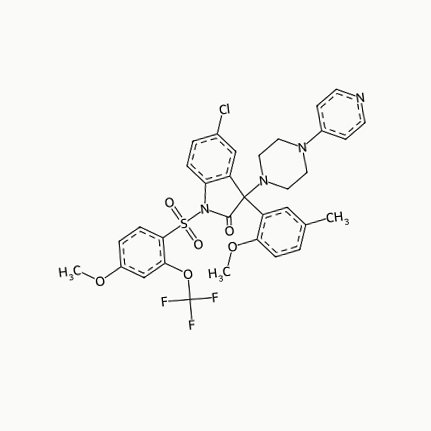 COc1ccc(S(=O)(=O)N2C(=O)C(c3cc(C)ccc3OC)(N3CCN(c4ccncc4)CC3)c3cc(Cl)ccc32)c(OC(F)(F)F)c1